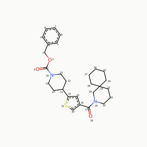 O=C(OCc1ccccc1)N1CCC(c2cc(C(=O)N3CCCC4(CCCCC4)C3)cs2)CC1